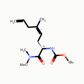 C=CC/C(C)=C\C[C@H](NC(=O)OC(C)(C)C)C(=O)N(C)OC